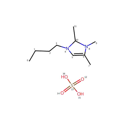 CCCCN1C=C(C)N(C)C1C.O=S(=O)(O)O